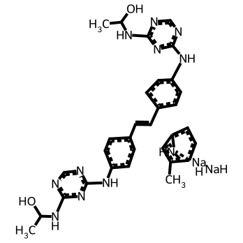 CC(O)Nc1ncnc(Nc2ccc(C=Cc3ccc(Nc4ncnc(NC(C)O)n4)cc3)cc2)n1.Cc1cc2ccc1[nH]2.[NaH].[NaH]